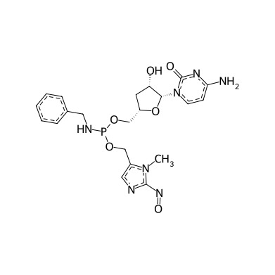 Cn1c(COP(NCc2ccccc2)OC[C@@H]2C[C@H](O)[C@H](n3ccc(N)nc3=O)O2)cnc1N=O